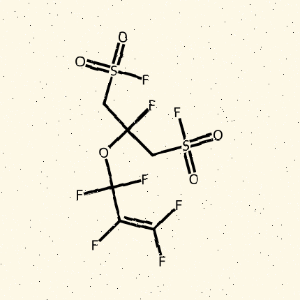 O=S(=O)(F)CC(F)(CS(=O)(=O)F)OC(F)(F)C(F)=C(F)F